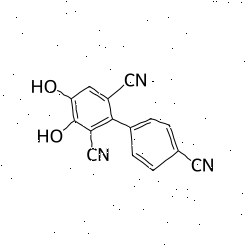 N#Cc1ccc(-c2c(C#N)cc(O)c(O)c2C#N)cc1